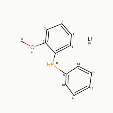 COc1ccccc1Pc1ccccc1.[Li]